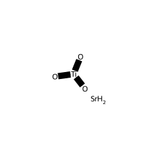 [O]=[Ti](=[O])=[O].[SrH2]